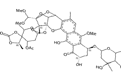 COc1c2c(c(O)c3c4c(c(C)cc13)C1OC3(C(OC)OC)OC1[C@@](OC1CC(OC(C)=O)C5(OC(=O)O[C@@H]5C)C(C)O1)(O4)[C@@]31CO1)C(=O)[C@@H](O)C[C@@H]2OC1CC(C)(O)C(OC(C)=O)C(C)O1